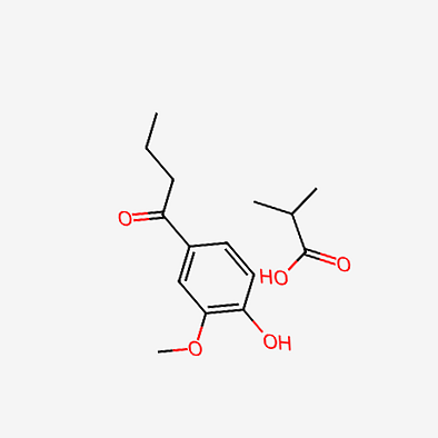 CC(C)C(=O)O.CCCC(=O)c1ccc(O)c(OC)c1